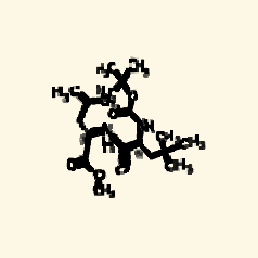 COC(=O)[C@H](CC(C)C)NC(=O)[C@H](CC(C)(C)C)NC(=O)OC(C)(C)C